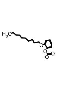 CCCCCCCCCCOc1ccccc1OC([O])=O